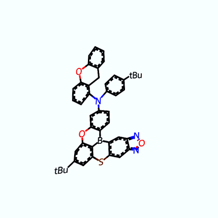 CC(C)(C)c1ccc(N(c2ccc3c(c2)Oc2cc(C(C)(C)C)cc4c2B3c2cc3nonc3cc2S4)c2cccc3c2Cc2ccccc2O3)cc1